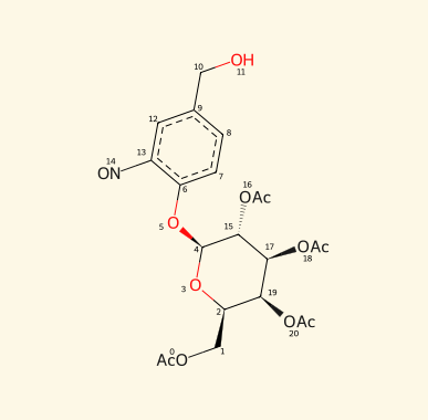 CC(=O)OC[C@H]1O[C@@H](Oc2ccc(CO)cc2N=O)[C@H](OC(C)=O)[C@@H](OC(C)=O)[C@H]1OC(C)=O